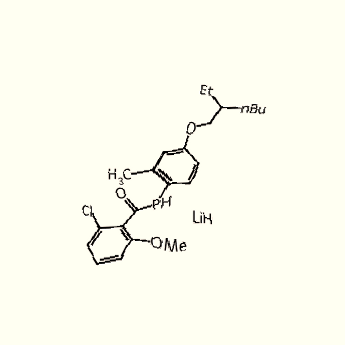 CCCCC(CC)COc1ccc(PC(=O)c2c(Cl)cccc2OC)c(C)c1.[LiH]